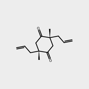 C=CC[C@]1(C)CC(=O)[C@](C)(CC=C)CC1=O